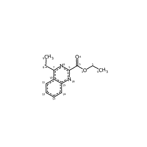 CCOC(=O)c1nc(SC)c2ccccc2n1